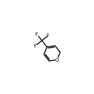 FC(F)(F)C1=CCOC=C1